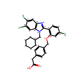 O=C(O)Cc1ccc(COc2cc(Cl)ccc2-c2nc3cc(F)c(F)cc3n2CC2CCCCC2)cc1